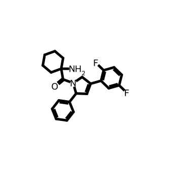 NC1(C(=O)N2CC(c3cc(F)ccc3F)=CC2c2ccccc2)CCCCC1